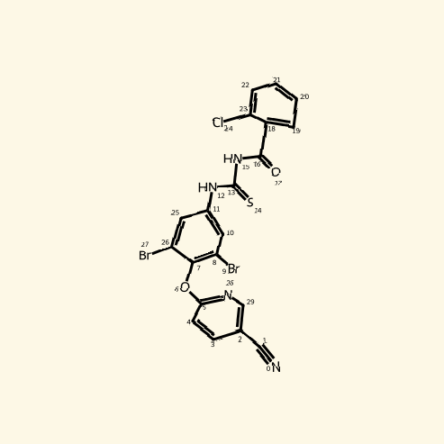 N#Cc1ccc(Oc2c(Br)cc(NC(=S)NC(=O)c3ccccc3Cl)cc2Br)nc1